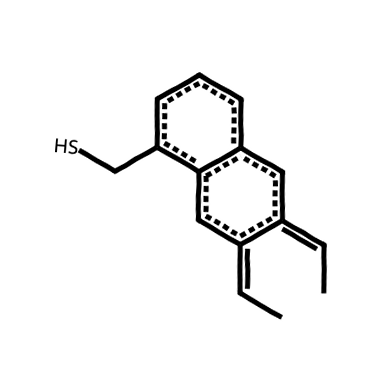 C/C=c1/cc2cccc(CS)c2c/c1=C/C